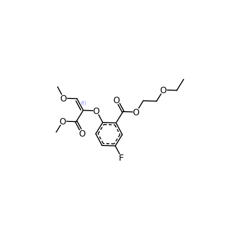 CCOCCOC(=O)c1cc(F)ccc1O/C(=C/OC)C(=O)OC